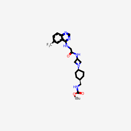 CC(C)(C)OC(=O)NC[C@H]1CC[C@@H](N2CC(NC(=O)CNc3ncnc4ccc(C(F)(F)F)cc34)C2)CC1